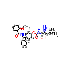 COc1ccccc1C(=O)NCC1(c2ccccc2)CCC(OC(=O)NC(O)[C@@H](N)CC(C)C)CC1